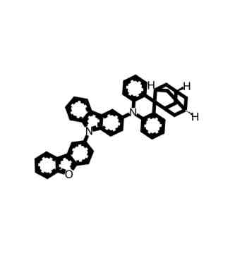 c1ccc2c(c1)N(c1ccc3c(c1)c1ccccc1n3-c1ccc3oc4ccccc4c3c1)c1ccccc1C21C2C[C@H]3C[C@@H](C2)C[C@@H]1C3